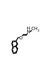 CCNC=COCc1ccc2ccccc2c1